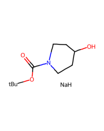 CC(C)(C)OC(=O)N1CCC(O)CC1.[NaH]